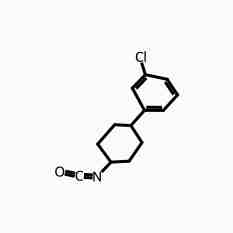 O=C=NC1CCC(c2cccc(Cl)c2)CC1